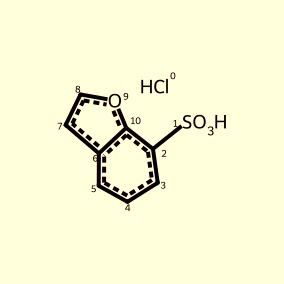 Cl.O=S(=O)(O)c1cccc2ccoc12